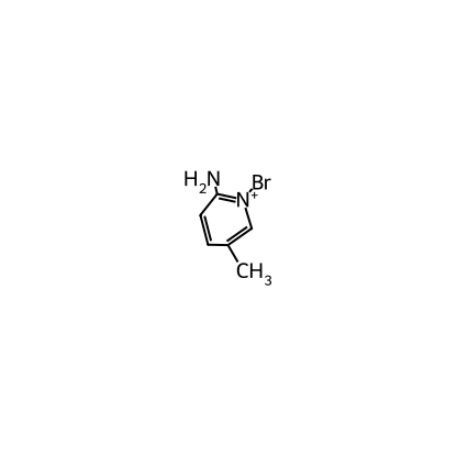 Cc1ccc(N)[n+](Br)c1